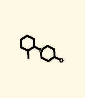 CC1CCCCC1N1CCC([O])CC1